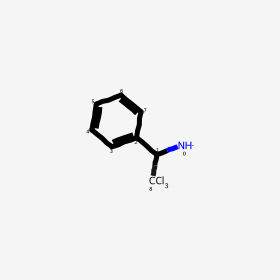 [NH]C(c1ccccc1)C(Cl)(Cl)Cl